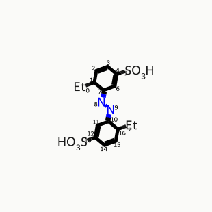 CCC1C=CC(S(=O)(=O)O)=CC1=NN=C1C=C(S(=O)(=O)O)C=CC1CC